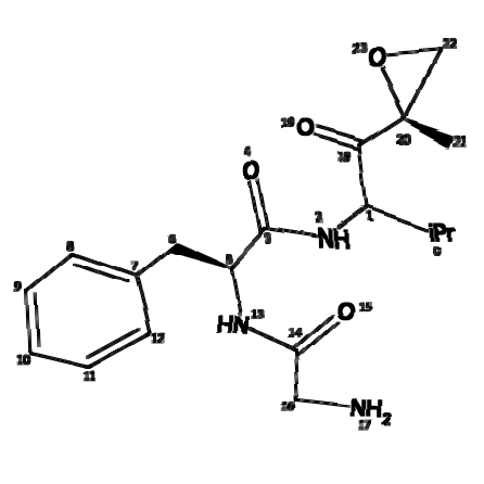 CC(C)C(NC(=O)[C@H](Cc1ccccc1)NC(=O)CN)C(=O)[C@@]1(C)CO1